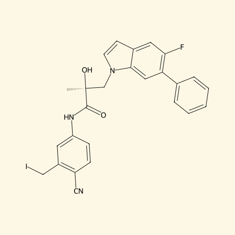 C[C@](O)(Cn1ccc2cc(F)c(-c3ccccc3)cc21)C(=O)Nc1ccc(C#N)c(CI)c1